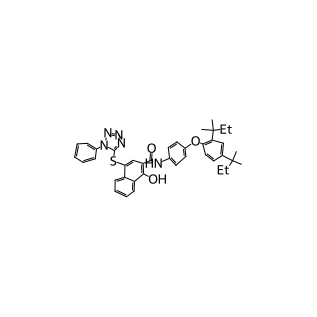 CCC(C)(C)c1ccc(Oc2ccc(NC(=O)c3cc(Sc4nnnn4-c4ccccc4)c4ccccc4c3O)cc2)c(C(C)(C)CC)c1